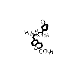 C[C@H](Cc1ccc2c(c1)CCC(C(=O)O)O2)NC[C@@H](O)c1cccc(Cl)c1